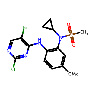 COc1ccc(Nc2nc(Cl)ncc2Br)c(N(C2CC2)S(C)(=O)=O)c1